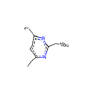 Cc1cc(C(C)C)nc(C(C)(C)C)n1